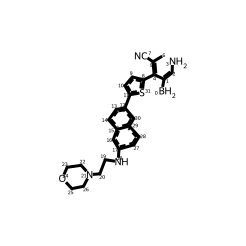 BC(=C/N)/C(=C(\C)C#N)c1ccc(-c2ccc3cc(NCCN4CCOCC4)ccc3c2)s1